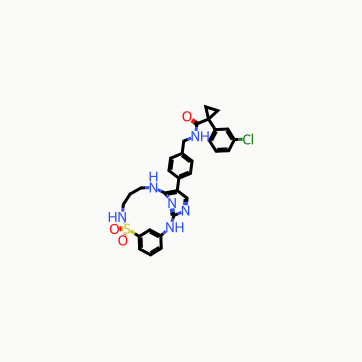 O=C(NCc1ccc(-c2cnc3nc2NCCCNS(=O)(=O)c2cccc(c2)N3)cc1)C1(c2cccc(Cl)c2)CC1